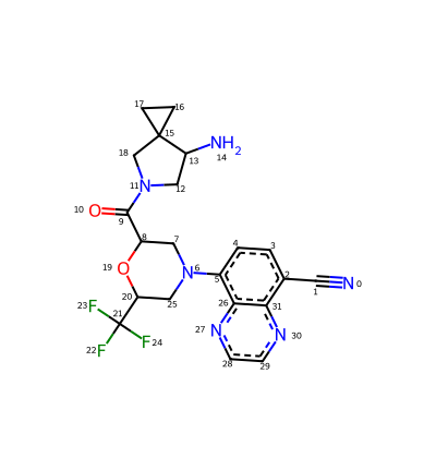 N#Cc1ccc(N2CC(C(=O)N3CC(N)C4(CC4)C3)OC(C(F)(F)F)C2)c2nccnc12